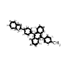 Cc1ccc(-c2c3ccccc3c(-c3ccc(-c4nc5ccccc5s4)cc3)c3ccccc23)cc1